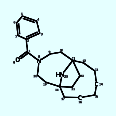 O=C(c1ccccc1)N1CCC23CCCCCCC(CC1)(CC2)N3